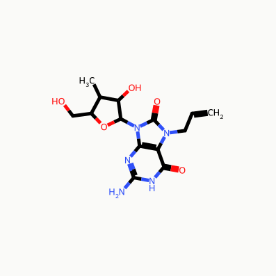 C=CCn1c(=O)n(C2OC(CO)C(C)C2O)c2nc(N)[nH]c(=O)c21